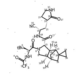 CC(C)(C)[C@H](NC(=O)C(F)(F)F)C(=O)N1C[C@@H]2[C@H]3C[C@@H]([C@@H]2[C@H]1C(=O)N[C@H](C#N)C[C@@H]1CCNC1=O)C1(CC1)C3